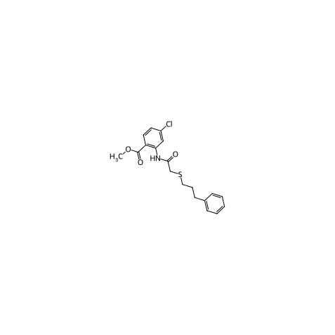 COC(=O)c1ccc(Cl)cc1NC(=O)CSCCCc1ccccc1